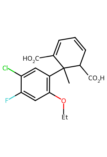 CCOc1cc(F)c(Cl)cc1C1(C)C(C(=O)O)=CC=CC1C(=O)O